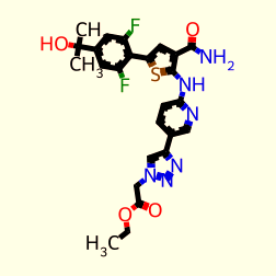 CCOC(=O)Cn1cc(-c2ccc(Nc3sc(-c4c(F)cc(C(C)(C)O)cc4F)cc3C(N)=O)nc2)nn1